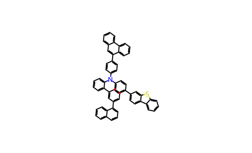 c1cc(-c2ccccc2N(c2ccc(-c3ccc4c(c3)sc3ccccc34)cc2)c2ccc(-c3cc4ccccc4c4ccccc34)cc2)cc(-c2cccc3ccccc23)c1